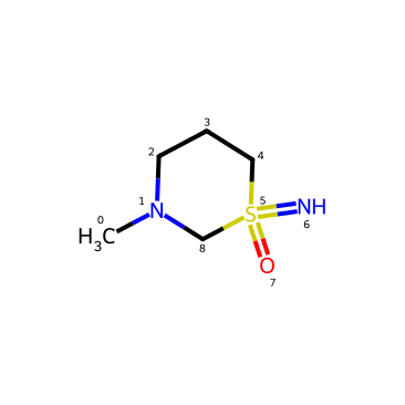 CN1CCCS(=N)(=O)C1